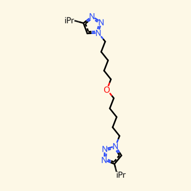 CC(C)c1cn(CCCCCOCCCCCn2cc(C(C)C)nn2)nn1